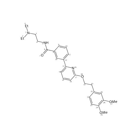 CCN(CC)CCNC(=O)c1cccc(-c2cccc(OCCc3ccc(OC)c(OC)c3)n2)c1